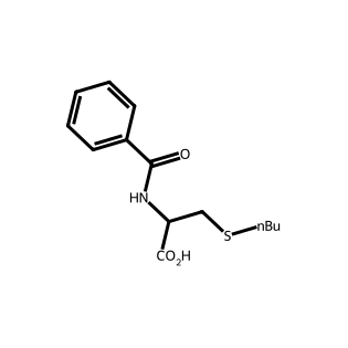 CCCCSCC(NC(=O)c1ccccc1)C(=O)O